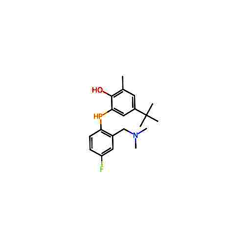 Cc1cc(C(C)(C)C)cc(Pc2ccc(F)cc2CN(C)C)c1O